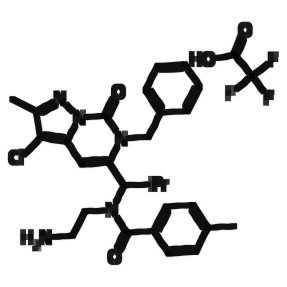 Cc1ccc(C(=O)N(CCN)C(c2cc3c(Cl)c(C)nn3c(=O)n2Cc2ccccc2)C(C)C)cc1.O=C(O)C(F)(F)F